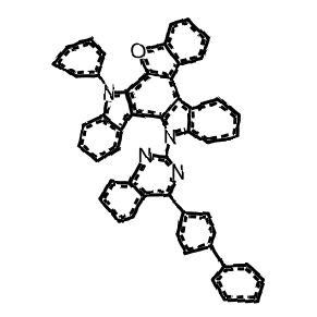 c1ccc(-c2ccc(-c3nc(-n4c5ccccc5c5c6c7ccccc7oc6c6c(c7ccccc7n6-c6ccccc6)c54)nc4ccccc34)cc2)cc1